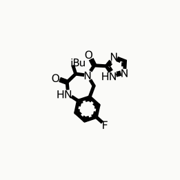 CCC(C)C1C(=O)Nc2ccc(F)cc2CN1C(=O)c1ncn[nH]1